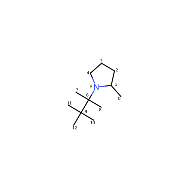 CC1CCCN1C(C)(C)C(C)(C)C